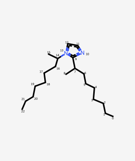 CCCCCCCC(C)c1nccn1C(C)CCCCCCC